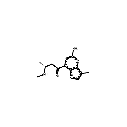 CN[C@H](C)CC(=N)c1nc(N)nc2c(C)csc12